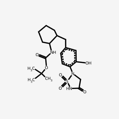 CC(C)(C)OC(=O)NC1CCCCC1Cc1ccc(N2CC(=O)NS2(=O)=O)c(O)c1